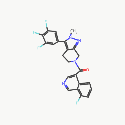 Cn1nc2c(c1-c1cc(F)c(F)c(F)c1)CCN(C(=O)c1cncc3c(F)cccc13)C2